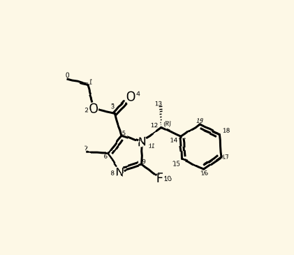 CCOC(=O)c1c(C)nc(F)n1[C@H](C)c1ccccc1